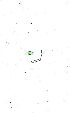 Br.[Li][CH]=C